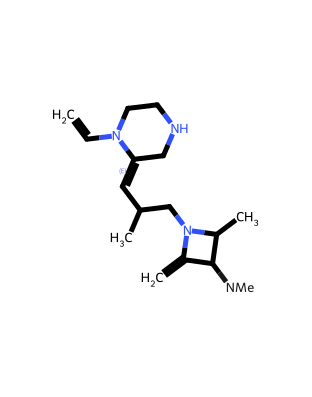 C=CN1CCNC/C1=C\C(C)CN1C(=C)C(NC)C1C